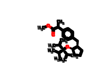 COC(=O)C(C)c1ccc(C[C@H]2CCC[C@@H]2O[Si](C(C)C)(C(C)C)C(C)C)cc1